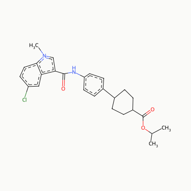 CC(C)OC(=O)C1CCC(c2ccc(NC(=O)c3cn(C)c4ccc(Cl)cc34)cc2)CC1